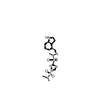 CN(/N=C\c1cccc2[nH]ccc12)S(=O)(=O)c1ncn(S(=O)(=O)N(C)C)n1